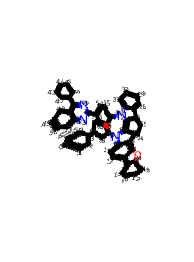 c1ccc(-c2cccc(-n3c4ccc5c6ccccc6oc5c4c4ccc5c6ccccc6n(-c6ccc(-c7nc(-c8ccccc8)c8ccccc8n7)cc6)c5c43)c2)cc1